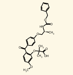 COc1ccc(C(=O)c2ccc(OC[C@H](C)NC(=O)OCc3ccccc3)cc2)c(OC(C)(C)C(=O)O)c1